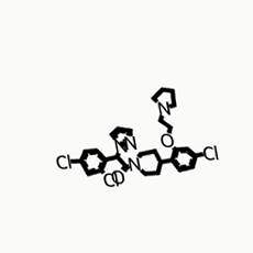 O=C(C(c1ccc(Cl)cc1Cl)n1cccn1)N1CCC(c2ccc(Cl)cc2OCCN2CCCC2)CC1